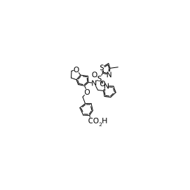 Cc1csc(S(=O)(=O)N(Cc2ccccn2)c2cc3c(cc2OCc2ccc(C(=O)O)cc2)CCO3)n1